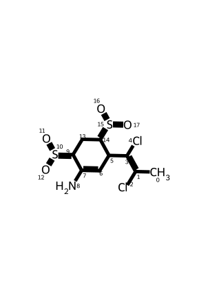 CC(Cl)=C(Cl)C1C=C(N)C(=S(=O)=O)CC1=S(=O)=O